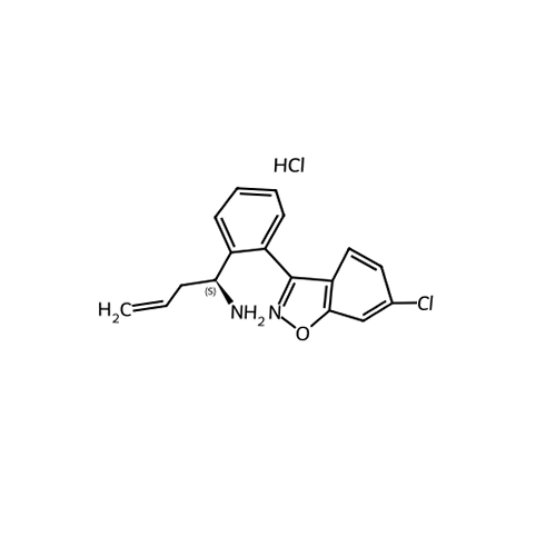 C=CC[C@H](N)c1ccccc1-c1noc2cc(Cl)ccc12.Cl